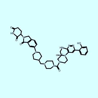 O=C1CCC(N2Cc3ccc(N4CCC(CN5CCN(C(=O)N6CCN7c8cc(-c9ccccc9O)nnc8NC[C@H]7C6)CC5)CC4)cc3C2=O)C(=O)N1